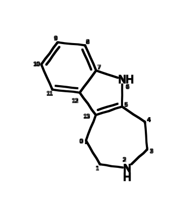 [CH]1CNCCc2[nH]c3ccccc3c21